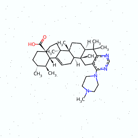 C[C@H]1[C@H](C)CC[C@]2(C(=O)O)CC[C@]3(C)C(=CC[C@@H]4[C@@]5(C)Cc6c(N7CCN(C)CC7)ncnc6C(C)(C)[C@@H]5CC[C@]43C)[C@H]12